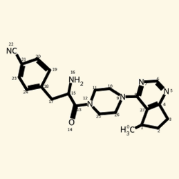 CC1CCc2ncnc(N3CCN(C(=O)C(N)Cc4ccc(C#N)cc4)CC3)c21